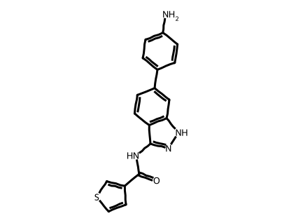 Nc1ccc(-c2ccc3c(NC(=O)c4ccsc4)n[nH]c3c2)cc1